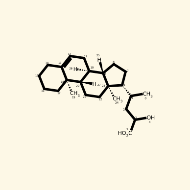 CC(CC(O)C(=O)O)[C@H]1CC[C@H]2[C@@H]3CC=C4CCCC[C@]4(C)[C@H]3CC[C@]12C